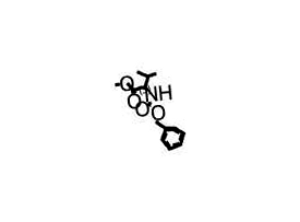 COC(=O)[C@@H](NC(=O)OCc1ccccc1)C(C)C